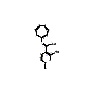 C=C\C=C/C(C(=N/C1=CC=CC=CC1)/SC)=C(\C)O